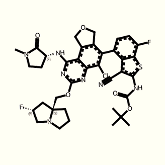 CN1CC[C@@H](Nc2nc(OC[C@@]34CCCN3C[C@H](F)C4)nc3c(Cl)c(-c4ccc(F)c5sc(NC(=O)OC(C)(C)C)c(C#N)c45)c4c(c23)COC4)C1=O